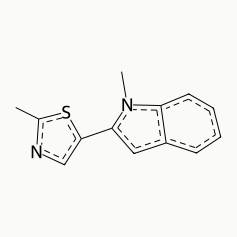 Cc1ncc(-c2cc3ccccc3n2C)s1